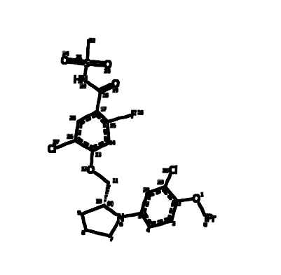 CC(C)Oc1ccc(N2CCC[C@@H]2COc2cc(F)c(C(=O)NS(C)(=O)=O)cc2Cl)cc1Cl